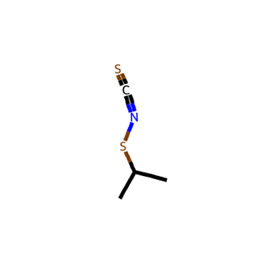 CC(C)SN=C=S